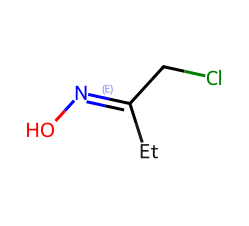 CC/C(CCl)=N\O